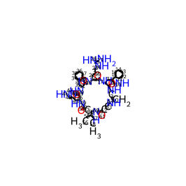 C=C1CNC(=O)[C@H](Cc2c[nH]c3ccccc23)NC(=O)[C@H](CCCNC(=N)N)NC(=O)C(Cc2ccccc2)NC(=O)[C@H](Cc2c[nH]cn2)NC(=O)CC(C(CC)CC)NC(=O)CCN1